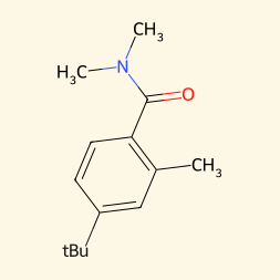 Cc1cc(C(C)(C)C)ccc1C(=O)N(C)C